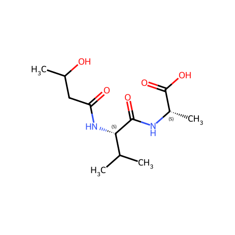 CC(O)CC(=O)N[C@H](C(=O)N[C@@H](C)C(=O)O)C(C)C